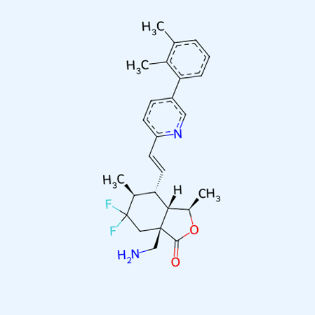 Cc1cccc(-c2ccc(/C=C/[C@@H]3[C@@H]4[C@@H](C)OC(=O)[C@]4(CN)CC(F)(F)[C@H]3C)nc2)c1C